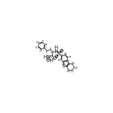 O=C(NO)C(CCc1ccccc1)NS(=O)(=O)c1ccc2c3c(sc2c1)CCCC3